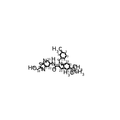 Cc1cccc(Cn2c(C(=O)Nc3cnc4sc(CO)nc4c3)cc3cc([Si](C)(C)C)ccc32)c1